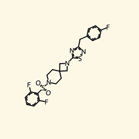 O=S(=O)(c1c(F)cccc1F)N1CCC2(CC1)CN(c1nc(Cc3ccc(F)cc3)ns1)C2